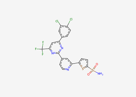 NS(=O)(=O)c1ccc(-c2cc(-c3nc(-c4ccc(Cl)c(Cl)c4)cc(C(F)(F)F)n3)ccn2)s1